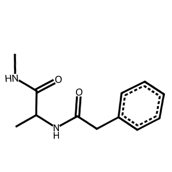 CNC(=O)C(C)NC(=O)Cc1ccccc1